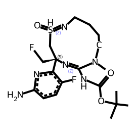 CN1CCCC/N=[SH](=O)/C[C@@](CF)(c2nc(N)ccc2F)/N=C\1NC(=O)OC(C)(C)C